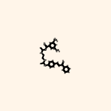 CC(OCCOC(C)Oc1ccc(/C=C/C(=O)c2ccccc2)cc1)OC(=O)c1cc(N)cc(N)c1